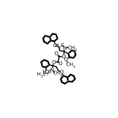 COc1ccccc1C(CCOc1cccc2ccccc12)(OC(=O)C(=O)OC(CCOc1cccc2ccccc12)(c1ccccc1OC)N(C)C)N(C)C